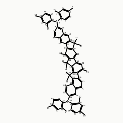 Cc1ccc(N(c2ccc3cc4c(cc3c2)C(C)(C)c2cc3c(c(C)c2-4)C(C)(C)c2c-3cc(C)c3c2C(C)(C)c2c-3ccc3cc(N(c4ccc(C)cc4C)c4ccc(C)cc4C)ccc23)c2ccc(C)cc2C)c(C)c1